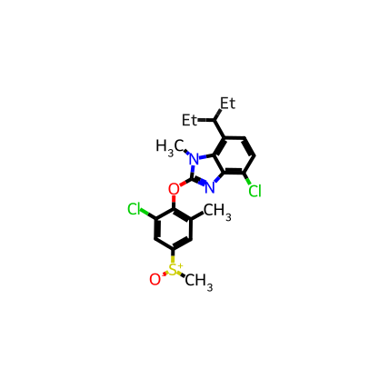 CCC(CC)c1ccc(Cl)c2nc(Oc3c(C)cc([S+](C)[O-])cc3Cl)n(C)c12